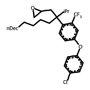 CCCCCCCCCCCCCCC(CC1CO1)(c1ccc(Oc2ccc(Cl)cc2)cc1C(F)(F)F)C(C)C